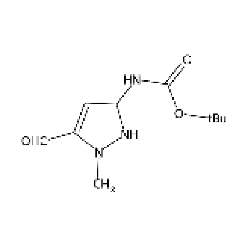 CN1NC(NC(=O)OC(C)(C)C)C=C1C=O